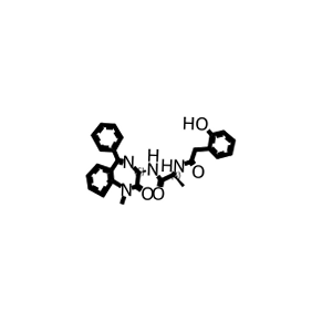 C[C@H](NC(=O)Cc1ccccc1O)C(=O)N[C@H]1N=C(c2ccccc2)c2ccccc2N(C)C1=O